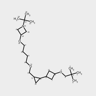 CC(C)(C)COC1CC(C2CC2COCCCCOC2CN(C(C)(C)C)C2)C1